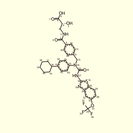 O=C(NC[C@@H](O)C(=O)O)c1ccc(CN(C(=O)Nc2nc3cc(OC(F)(F)F)ccc3s2)c2ccc(C3CCCCC3)cc2)cc1